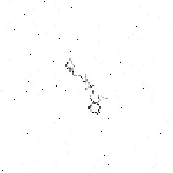 COc1ccccc1CCC(C)(C)NCCCn1ccnc1